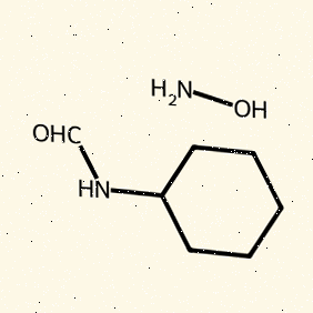 NO.O=CNC1CCCCC1